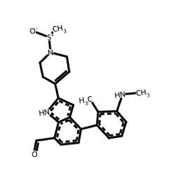 CNc1cccc(-c2ccc(C=O)c3[nH]c(C4=CCN([S+](C)[O-])CC4)cc23)c1C